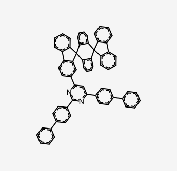 c1ccc(-c2ccc(-c3cc(-c4ccc5c(c4)C4(c6ccccc6-5)c5ccccc5C5(c6ccccc6-c6ccccc65)c5ccccc54)nc(-c4ccc(-c5ccccc5)cc4)n3)cc2)cc1